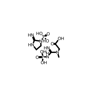 CN(CC(=O)O)C(=N)NP(=O)(O)O.N=C1NCCN1P(=O)(O)O